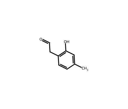 Cc1ccc(C[C]=O)c(O)c1